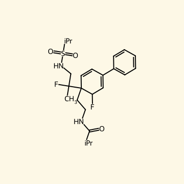 CC(C)C(=O)NCCC1(C(C)(F)CNS(=O)(=O)C(C)C)C=CC(c2ccccc2)=CC1F